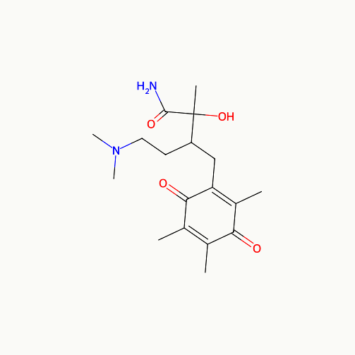 CC1=C(C)C(=O)C(CC(CCN(C)C)C(C)(O)C(N)=O)=C(C)C1=O